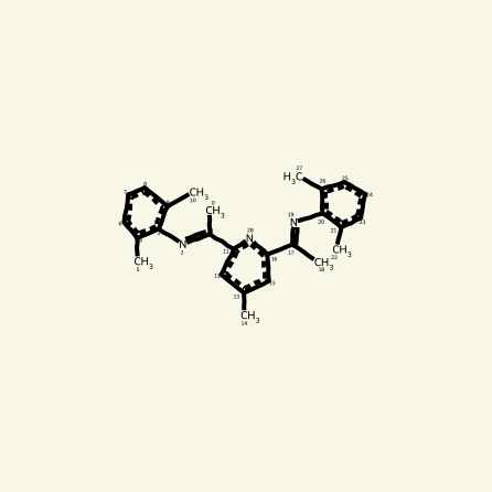 CC(=Nc1c(C)cccc1C)c1cc(C)cc(C(C)=Nc2c(C)cccc2C)n1